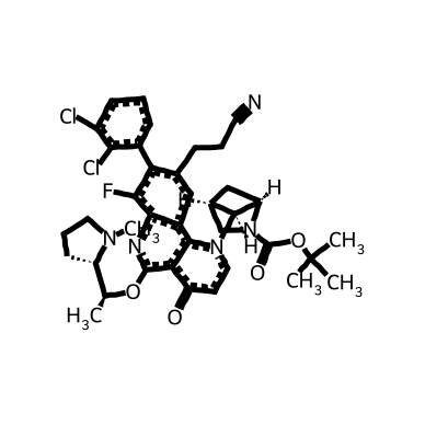 C[C@H](Oc1nc2c(F)c(-c3cccc(Cl)c3Cl)c(CCC#N)cc2c2c1c(=O)ccn2[C@H]1[C@@H]2C[C@H]1N(C(=O)OC(C)(C)C)C2)[C@@H]1CCCN1C